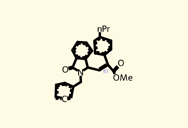 CCCc1ccc(/C(=C\C2c3ccccc3C(=O)N2Cc2ccccc2)C(=O)OC)cc1